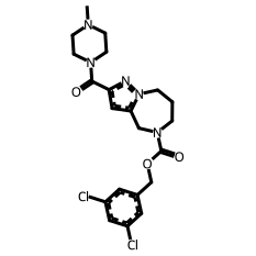 CN1CCN(C(=O)c2cc3n(n2)CCCN(C(=O)OCc2cc(Cl)cc(Cl)c2)C3)CC1